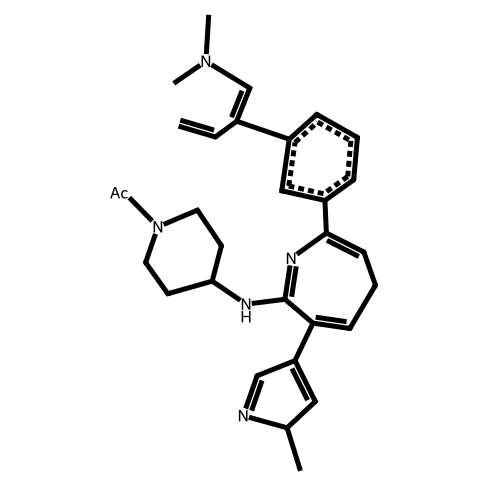 C=C/C(=C\N(C)C)c1cccc(C2=CCC=C(C3=CC(C)N=C3)C(NC3CCN(C(C)=O)CC3)=N2)c1